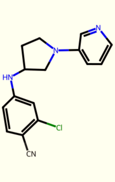 N#Cc1ccc(NC2CCN(c3cccnc3)C2)cc1Cl